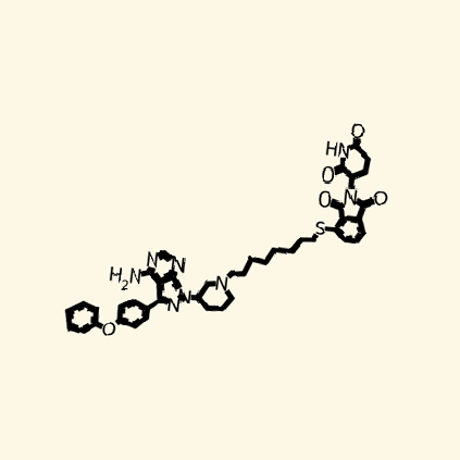 Nc1ncnc2c1c(-c1ccc(Oc3ccccc3)cc1)nn2C1CCCN(CCCCCCCCSc2cccc3c2C(=O)N(C2CCC(=O)NC2=O)C3=O)C1